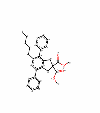 CCCCCc1cc(-c2ccccc2)c2c(c1-c1ccccc1)CC(C(=O)OC)(C(=O)OC)C2